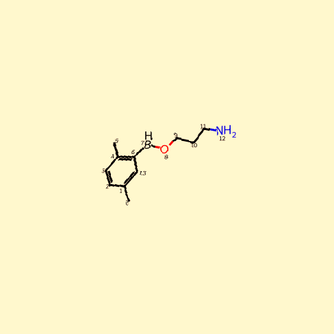 Cc1ccc(C)c(BOCCCN)c1